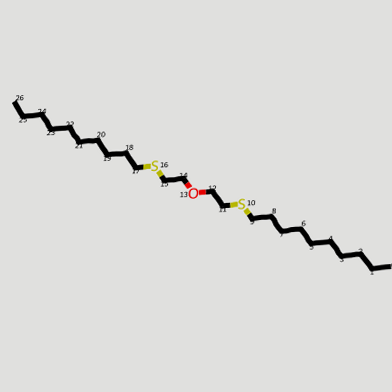 CCCCCCCCCCSCCOCCSCCCCCCCCCC